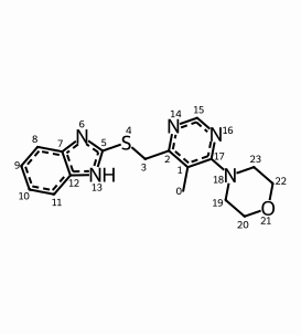 Cc1c(CSc2nc3ccccc3[nH]2)ncnc1N1CCOCC1